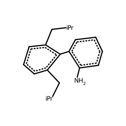 CC(C)Cc1cccc(CC(C)C)c1-c1ccccc1N